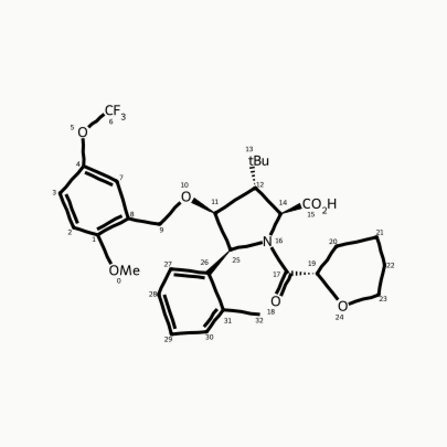 COc1ccc(OC(F)(F)F)cc1CO[C@H]1[C@H](C(C)(C)C)[C@@H](C(=O)O)N(C(=O)[C@@H]2CCCCO2)[C@H]1c1ccccc1C